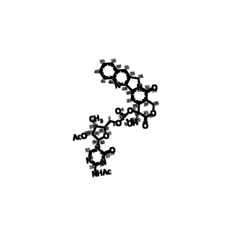 CC[C@@]1(OP(=O)(O)OC[C@H]2O[C@@H](n3cnc(NC(C)=O)nc3=O)[C@H](OC(C)=O)[C@@H]2C)C(=O)OCc2c1cc1n(c2=O)Cc2cc3ccccc3nc2-1